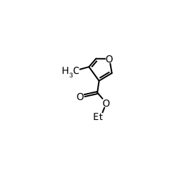 CCOC(=O)c1cocc1C